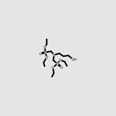 CCOP(=O)(CN(CCCO)CP(=O)(OCC)OCC)OCC